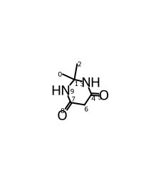 CC1(C)NC(=O)CC(=O)N1